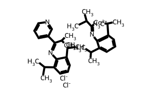 CC(C)C(=Nc1c(C(C)C)cccc1C(C)C)c1cccnc1.CC(C)[C]([Co+2])=Nc1c(C(C)C)cccc1C(C)C.[Cl-].[Cl-]